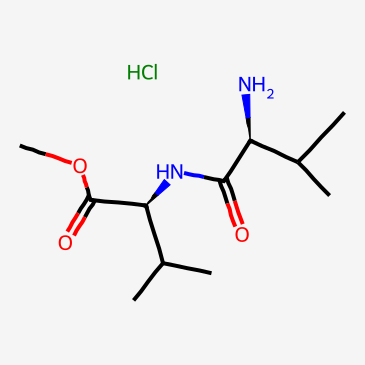 COC(=O)[C@@H](NC(=O)[C@@H](N)C(C)C)C(C)C.Cl